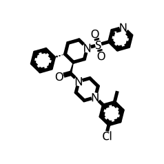 Cc1ccc(Cl)cc1N1CCN(C(=O)[C@@H]2CN(S(=O)(=O)c3cccnc3)CC[C@H]2c2ccccc2)CC1